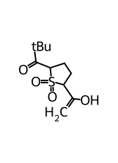 C=C(O)C1CCC(C(=O)C(C)(C)C)S1(=O)=O